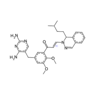 COc1cc(Cc2cnc(N)nc2N)cc(C(=O)/C=C/N2N=Cc3ccccc3C2CCC(C)C)c1OC